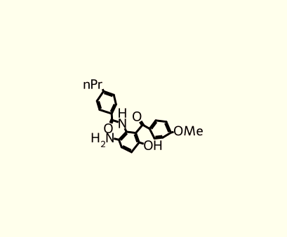 CCCc1ccc(C(=O)Nc2c(N)ccc(O)c2C(=O)c2ccc(OC)cc2)cc1